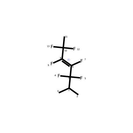 CC(C)C(F)(F)/C(F)=C(\F)C(C)(F)F